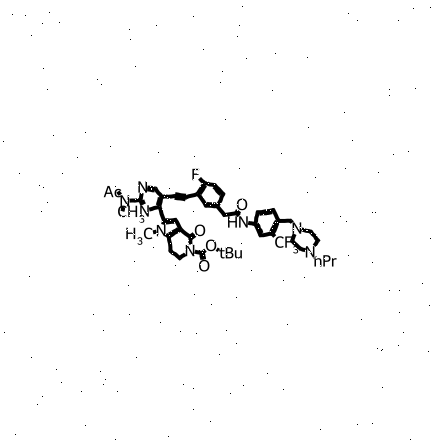 CCCN1CCN(Cc2ccc(NC(=O)Cc3ccc(F)c(C#Cc4cnc(N(C)C(C)=O)nc4-c4cc5c(n4C)CCN(C(=O)OC(C)(C)C)C5=O)c3)cc2C(F)(F)F)CC1